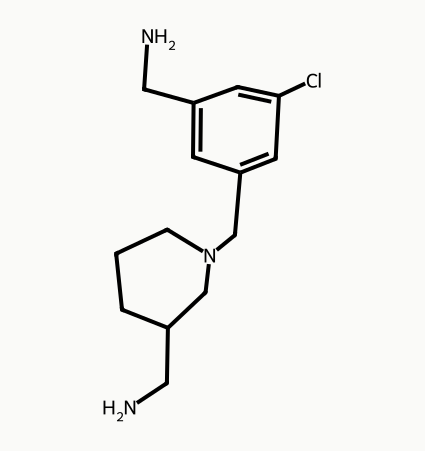 NCc1cc(Cl)cc(CN2CCCC(CN)C2)c1